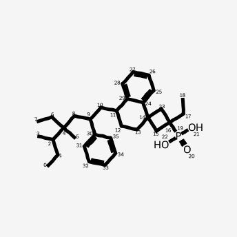 CCC(C)C(C)(CC)CC(CC1CCC2(CC(CC)(P(=O)(O)O)C2)c2ccccc21)c1ccccc1